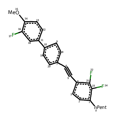 CCCCCc1ccc(C#Cc2ccc(-c3ccc(OC)c(F)c3)cc2)c(F)c1F